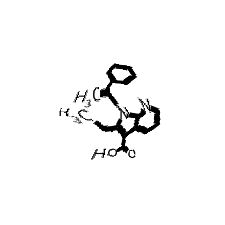 CCc1c(C(=O)O)c2cccnc2n1C(C)c1ccccc1